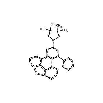 CC1(C)OB(c2cc(-c3ccccc3)c3c(c2)c2cccc4oc5cccc3c5c42)OC1(C)C